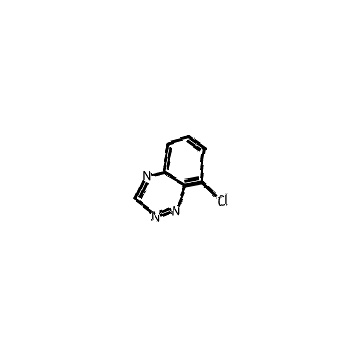 Clc1cccc2ncnnc12